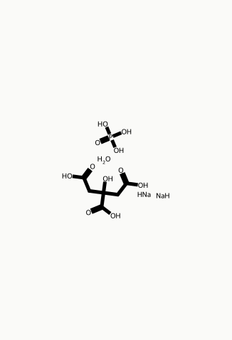 O.O=C(O)CC(O)(CC(=O)O)C(=O)O.O=P(O)(O)O.[NaH].[NaH]